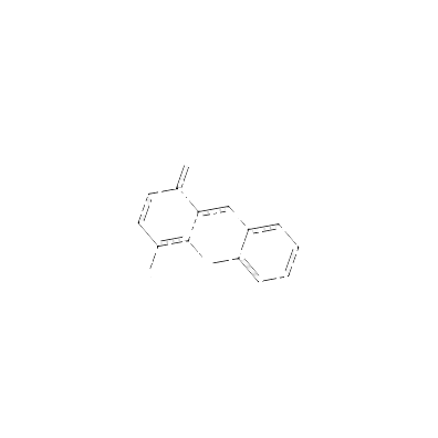 O=c1ccc(S)c2sc3ccccc3cc1-2